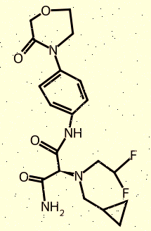 NC(=O)[C@@H](C(=O)Nc1ccc(N2CCOCC2=O)cc1)N(CC(F)F)CC1CC1